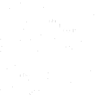 CCCC=C(CCCCCCCCCCCCCCCCCCCCCC)C(=O)O